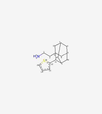 NCCC12CC3CC(CC(C3)C1c1cccs1)C2